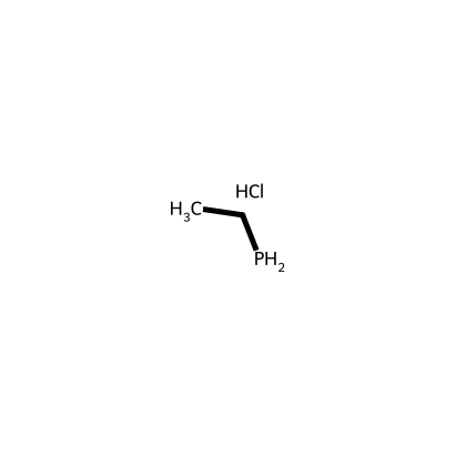 CCP.Cl